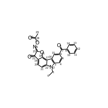 CCn1c2ccc(C(=O)c3ccccc3)cc2c2c3c(ccc21)C(=O)/C(=N/OC(C)=O)O3